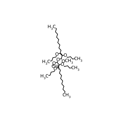 CCCCCCCCCCC(OCCCC)=C(OCCCC)C(OC)OC(OC)C(OCCCC)=C(CCCCCCCCCC)OCCCC